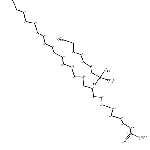 CCCCCCCCCCCCCCCCC(CC)(CCCC)C(=O)O.CCCCCCCCCCCCCCCCCCCCCCCCCCCCCCCCCCOC(=O)CCCCCCC